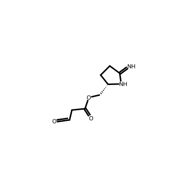 N=C1CC[C@@H](COC(=O)CC=O)N1